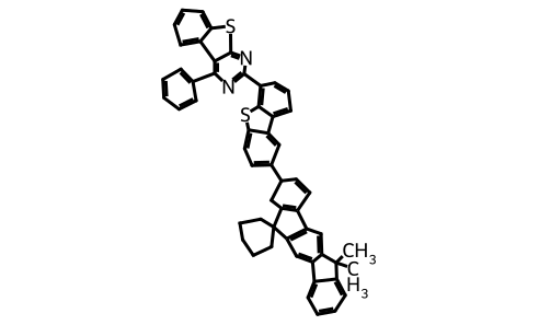 CC1(C)c2ccccc2-c2cc3c(cc21)C1=C(CC(c2ccc4sc5c(-c6nc(-c7ccccc7)c7c(n6)sc6ccccc67)cccc5c4c2)C=C1)C31CCCCC1